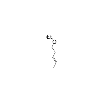 C[C]OCCC=CC